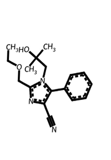 CCOCc1nc(C#N)c(-c2ccccc2)n1CC(C)(C)O